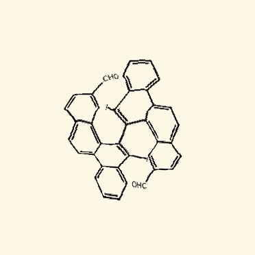 O=Cc1ccc2ccc3c4ccccc4c(I)c(-c4c(I)c5ccccc5c5ccc6ccc(C=O)cc6c45)c3c2c1